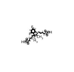 CC1=[N+](CCCCS(=O)(=O)O)c2cc(F)cc(F)c2C1(C)CCCCS(=O)(=O)O